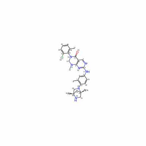 Cc1cc(Nc2ncc3c(n2)N(C)CN(c2c(C)cccc2Cl)C3=O)ccc1N1C[C@@H]2C[C@H]1CN2